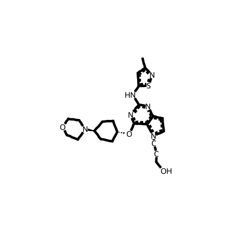 Cc1cc(Nc2nc(O[C@H]3CC[C@H](N4CCOCC4)CC3)c3c(ccn3CCCO)n2)sn1